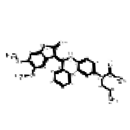 COc1cc2c(cc1OC)/C(=C(/Nc1ccc(N(CCN)C(C)=O)cc1)c1ccccc1)C(=O)N2